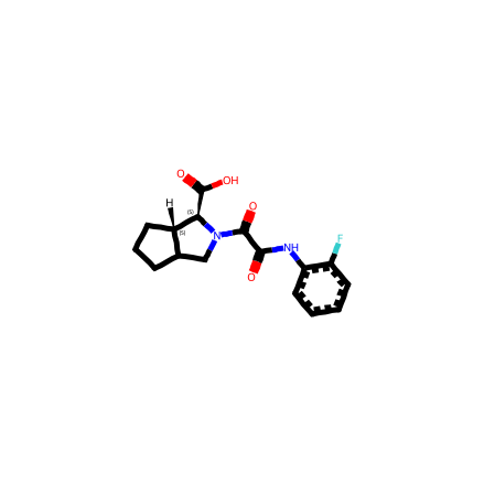 O=C(Nc1ccccc1F)C(=O)N1CC2CCC[C@@H]2[C@H]1C(=O)O